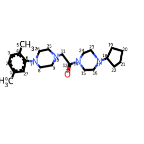 Cc1ccc(C)c(N2CCN(CC(=O)N3CCN(C4CCCC4)CC3)CC2)c1